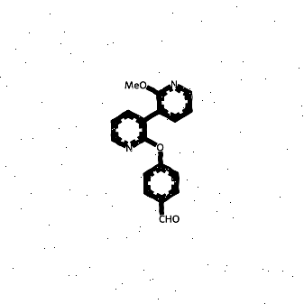 COc1ncccc1-c1cccnc1Oc1ccc(C=O)cc1